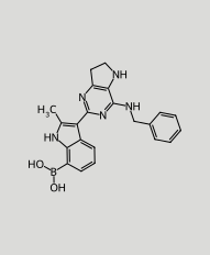 Cc1[nH]c2c(B(O)O)cccc2c1-c1nc2c(c(NCc3ccccc3)n1)NCC2